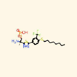 CCCCCCCCSc1ccc(-c2nnc([C@@](C)(N)CO[PH](=O)O)s2)cc1C(F)(F)F